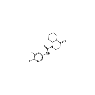 Cc1cc(NC(=O)N2CCC(=O)C3CCCCC32)ccc1F